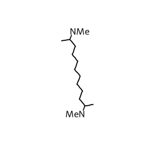 CNC(C)CCCCCCCCC(C)NC